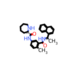 Cc1ccc(NC(=O)[C@@H]2CCCCCN2)cc1C(=O)N[C@H](C)c1cccc2ccccc12